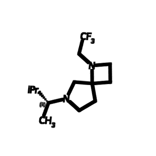 CC(C)[C@@H](C)N1CCC2(CCN2CC(F)(F)F)C1